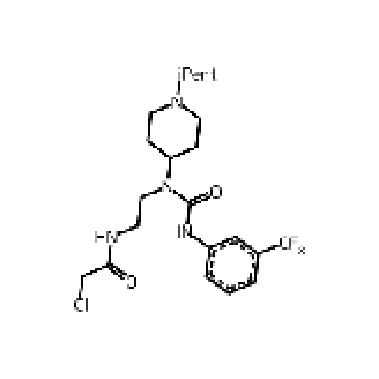 CCCC(C)N1CCC(N(CCNC(=O)CCl)C(=O)Nc2cccc(C(F)(F)F)c2)CC1